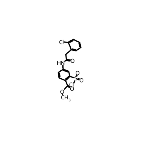 COC(=O)c1ccc(NC(=O)Cc2ccccc2Cl)cc1S(=O)(=O)Cl